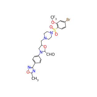 Cc1nc(-c2ccc(N3CC(CN4CCN(S(=O)(=O)c5ccc(Br)cc5OC(F)(F)F)CC4)OC3C=O)cc2)no1